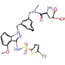 COc1cccc2c1c(NS(=O)(=O)c1ccc(Cl)s1)nn2Cc1cccc(CN(C)C(=O)[C@@H](N)CC(=O)O)c1